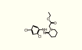 CCOC(=O)CN1CCCCC1=NNc1ccc(Cl)cc1Cl